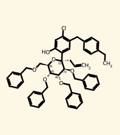 C=CC[C@@]1(c2cc(Cc3ccc(CC)cc3)c(Cl)cc2O)O[C@H](COCc2ccccc2)[C@@H](OCc2ccccc2)[C@@H](OCc2ccccc2)[C@@H]1OCc1ccccc1